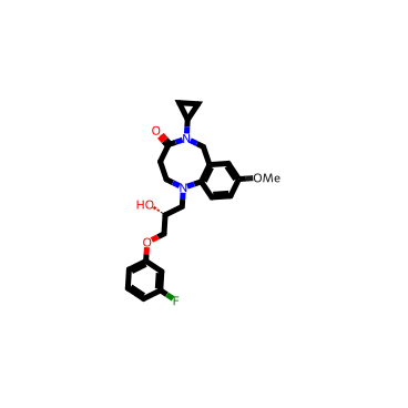 COc1ccc2c(c1)CN(C1CC1)C(=O)CCN2C[C@@H](O)COc1cccc(F)c1